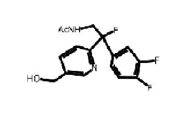 CC(=O)NCC(F)(c1ccc(F)c(F)c1)c1ccc(CO)cn1